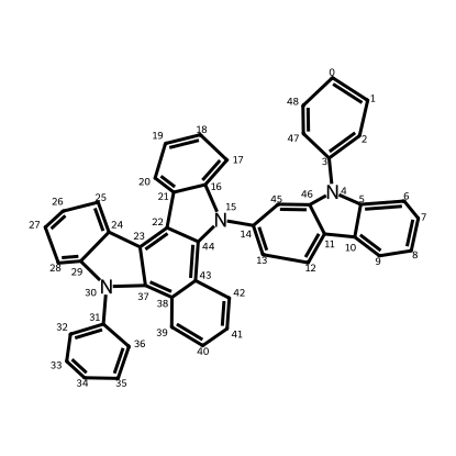 c1ccc(-n2c3ccccc3c3ccc(-n4c5ccccc5c5c6c7ccccc7n(-c7ccccc7)c6c6ccccc6c54)cc32)cc1